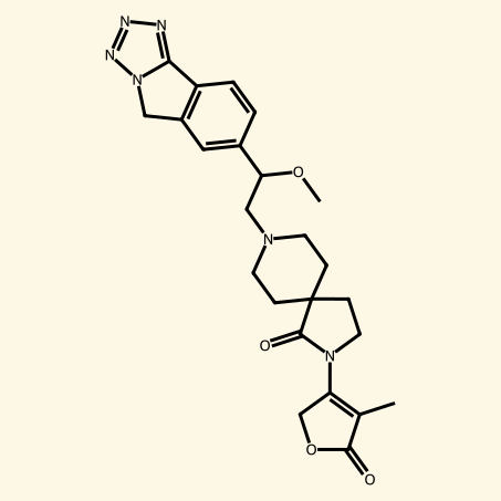 COC(CN1CCC2(CC1)CCN(C1=C(C)C(=O)OC1)C2=O)c1ccc2c(c1)Cn1nnnc1-2